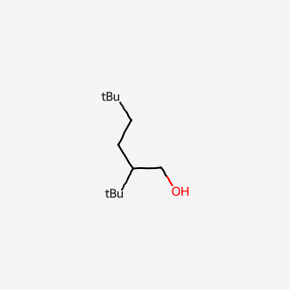 CC(C)(C)CCC(CO)C(C)(C)C